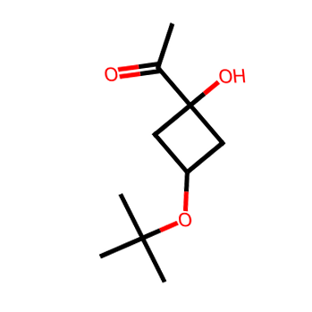 CC(=O)C1(O)CC(OC(C)(C)C)C1